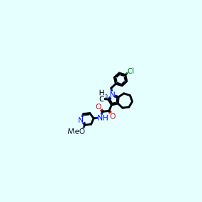 COC1=NC=CC(NC(=O)C(=O)c2c3c(n(Cc4ccc(Cl)cc4)c2C)CCCCC3)C1